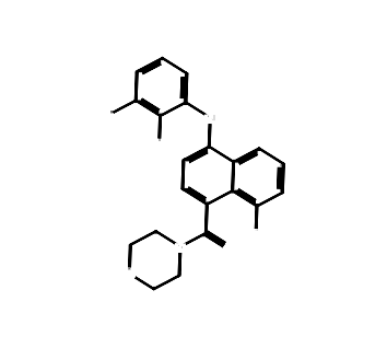 Cc1c(Cl)cccc1Nc1ccc(C(=O)N2CCOCC2)c2c(C)cccc12